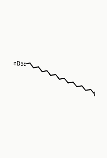 CCCCCCCCCCCCCCCCCCCCCCCCCI